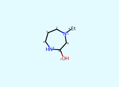 CCN1CCCNC(O)C1